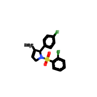 CCOC(=O)C1=CCN(S(=O)(=O)c2ccccc2Cl)C1c1ccc(Cl)cc1